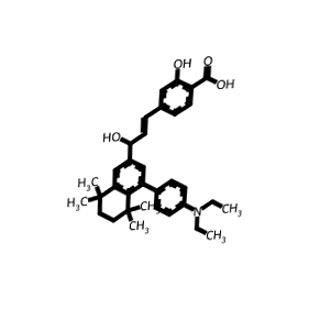 CCN(CC)c1ccc(-c2cc(C(O)/C=C/c3ccc(C(=O)O)c(O)c3)cc3c2C(C)(C)CCC3(C)C)cc1